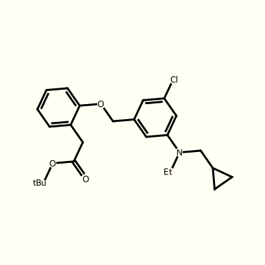 CCN(CC1CC1)c1cc(Cl)cc(COc2ccccc2CC(=O)OC(C)(C)C)c1